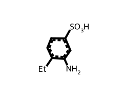 CCc1ccc(S(=O)(=O)O)cc1N